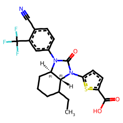 CCC1CCC[C@@H]2[C@@H]1N(c1ccc(C(=O)O)s1)C(=O)N2c1ccc(C#N)c(C(F)(F)F)c1